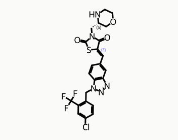 O=C1S/C(=C\c2ccc3c(c2)nnn3Cc2ccc(Cl)cc2C(F)(F)F)C(=O)N1C[C@H]1COCCN1